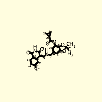 CC1(C)Oc2cc(CNC=C3C(=O)NC(=O)c4ccc(Br)cc43)cc(OC(=O)C3CC3)c2O1